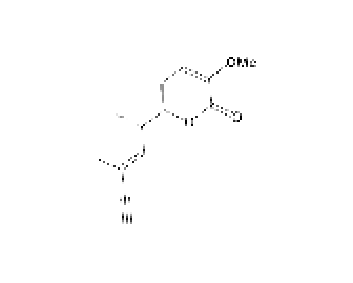 C#C/C(C)=C/[C@H](C)[C@@H]1CC=C(OC)C(=O)O1